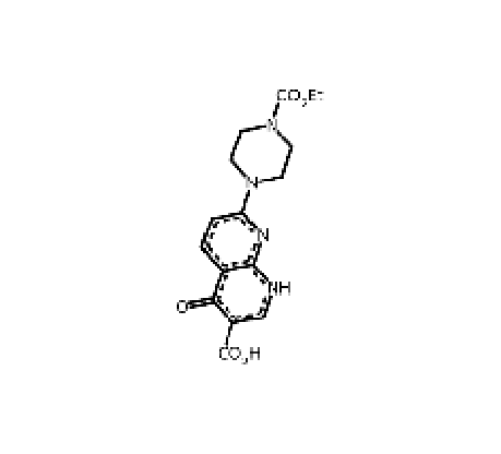 CCOC(=O)N1CCN(c2ccc3c(=O)c(C(=O)O)c[nH]c3n2)CC1